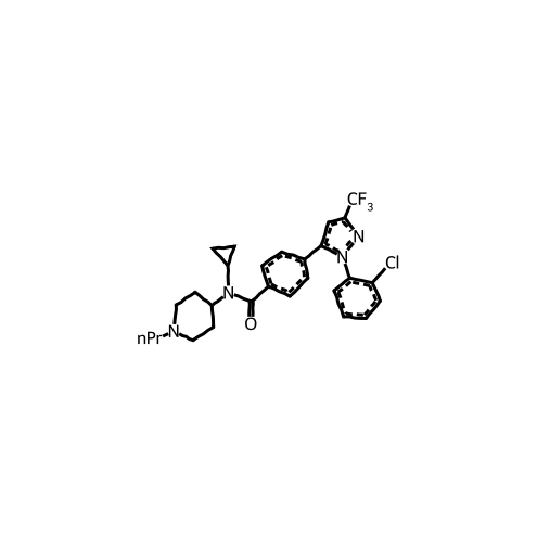 CCCN1CCC(N(C(=O)c2ccc(-c3cc(C(F)(F)F)nn3-c3ccccc3Cl)cc2)C2CC2)CC1